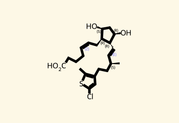 Cc1sc(Cl)cc1CC[C@H](C)/C=C/[C@@H]1[C@@H](C/C=C\CCCC(=O)O)[C@@H](O)C[C@H]1O